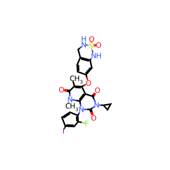 Cc1c(Oc2ccc3c(c2)NS(=O)(=O)NC3)c2c(=O)n(C3CC3)c(=O)n(-c3ccc(I)cc3F)c2n(C)c1=O